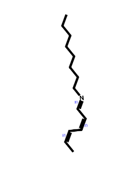 C\C=C/C=C\C=N\CCCCCCCC